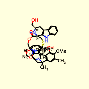 COc1c(C)cc2c(c1O)[C@@H]1[C@@H]3[C@@H]4SC[C@]5(N[C@@H](CO)Cc6c5[nH]c5ccccc65)C(=O)OC[C@@H](c5c6c(c(C)c(OC(C)=O)c54)OCO6)N3[C@]3(C#N)CN1C2(C)C3